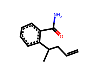 C=CCC(C)c1ccccc1C(N)=O